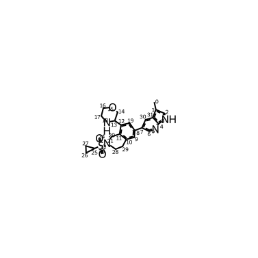 Cc1c[nH]c2ncc(-c3cc4c(c(C5COCCN5)c3)CN(S(=O)(=O)C3CC3)CC4)cc12